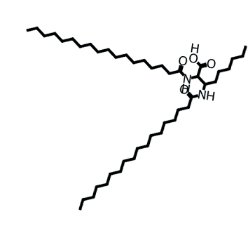 CCCCCCCCCCCCCCCCCC(=O)NC(CCCCCC)C(NC(=O)CCCCCCCCCCCCCCCCC)C(=O)O